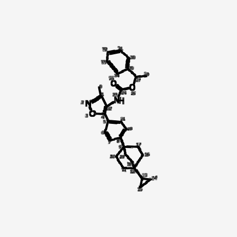 Cc1noc(-c2ccc(C34CCC(C5CC5)(CC3)CC4)cc2)c1NC(=O)OC(C)c1ccccc1